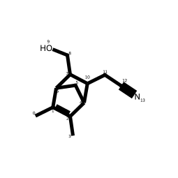 CC1=C(C)C2CC1C(CO)C2CC#N